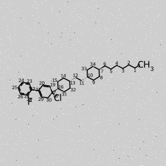 CCCCCCC[C@H]1CC[C@H](CC[C@H]2CC[C@H](C3(Cl)C=CC(c4ccccc4F)=CC3)CC2)CC1